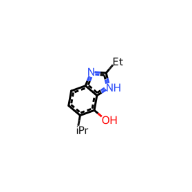 CCc1nc2ccc(C(C)C)c(O)c2[nH]1